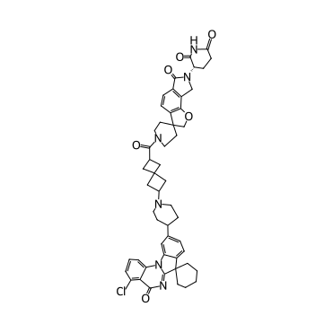 O=C1CC[C@H](N2Cc3c(ccc4c3OCC43CCN(C(=O)C4CC5(C4)CC(N4CCC(c6ccc7c(c6)-n6c(nc(=O)c8c(Cl)cccc86)C76CCCCC6)CC4)C5)CC3)C2=O)C(=O)N1